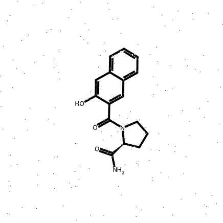 NC(=O)[C@@H]1CCCN1C(=O)c1cc2ccccc2cc1O